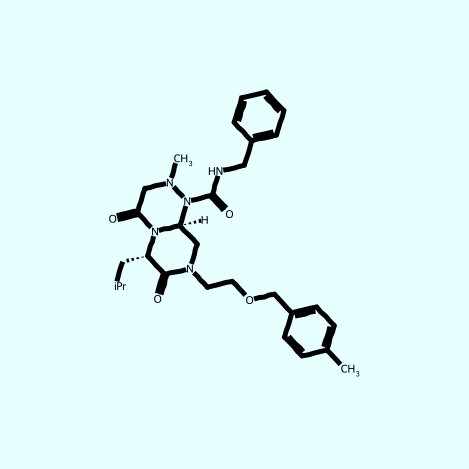 Cc1ccc(COCCN2C[C@H]3N(C(=O)CN(C)N3C(=O)NCc3ccccc3)[C@@H](CC(C)C)C2=O)cc1